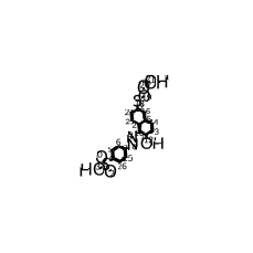 O=S(=O)(O)c1ccc(N=Nc2c(O)ccc3cc(SOOO)ccc23)cc1